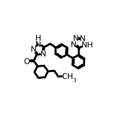 CCCC1CCCC(C(=O)c2n[nH]c(Cc3ccc(-c4ccccc4-c4nnn[nH]4)cc3)n2)C1